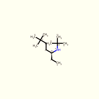 CC[C@@H](CCC(C)(C)C)NC(C)(C)C